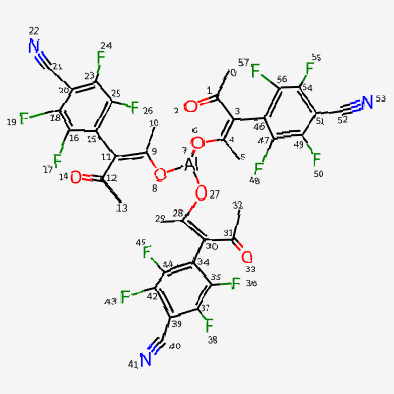 CC(=O)/C(=C(/C)[O][Al]([O]/C(C)=C(\C(C)=O)c1c(F)c(F)c(C#N)c(F)c1F)[O]/C(C)=C(\C(C)=O)c1c(F)c(F)c(C#N)c(F)c1F)c1c(F)c(F)c(C#N)c(F)c1F